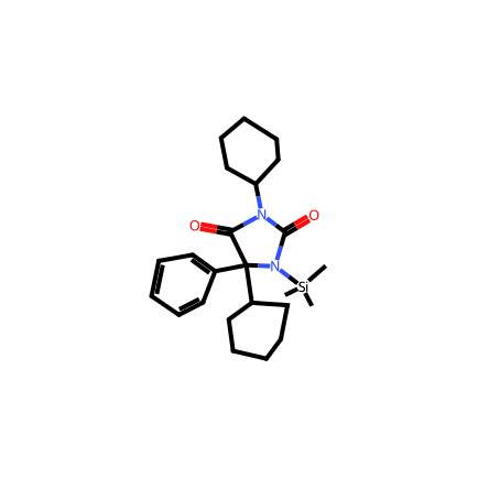 C[Si](C)(C)N1C(=O)N(C2CCCCC2)C(=O)C1(c1ccccc1)C1CCCCC1